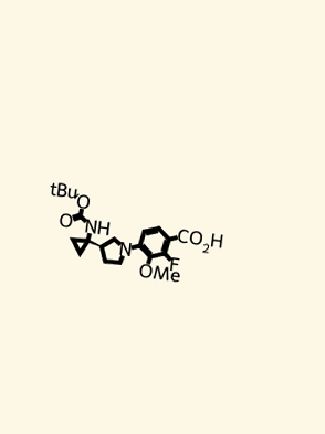 COc1c(N2CC[C@@H](C3(NC(=O)OC(C)(C)C)CC3)C2)ccc(C(=O)O)c1F